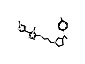 Cc1ccc([C@@H]2C[C@@]23CCN(CCCSc2nnc(-c4cnn(C)c4)n2C)C3)cc1